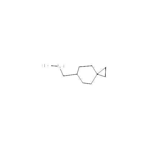 CNCC1CCC2(CC1)CC2